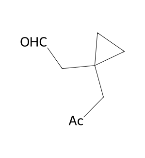 CC(=O)CC1(CC=O)CC1